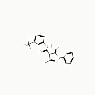 CC1=NN(c2ccccc2)C(=O)C1C(=O)Nc1cccc(C(F)(F)F)c1